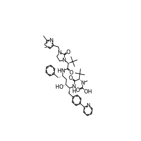 Cc1nc(CN2CCN([C@H](C(=O)N[C@@H](Cc3ccccc3)C[C@@H](O)[C@H](Cc3ccc(-c4ccccn4)cc3)NC(=O)[C@@H](N(C)C(=O)O)C(C)(C)C)C(C)(C)C)C2=O)cs1